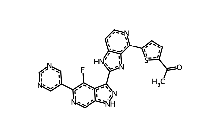 CC(=O)c1ccc(-c2nccc3[nH]c(-c4n[nH]c5cnc(-c6cncnc6)c(F)c45)nc23)s1